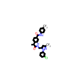 CC(C(=O)NCc1cc(C(F)(F)F)nn1-c1cccc(Cl)c1)c1ccc(C(=O)Nc2ccc(C(F)(F)F)cc2)cc1